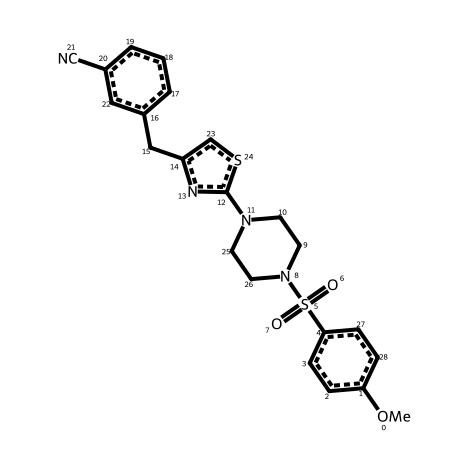 COc1ccc(S(=O)(=O)N2CCN(c3nc(Cc4cccc(C#N)c4)cs3)CC2)cc1